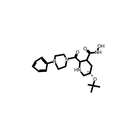 CC(C)(C)O[C@@H]1CNC(C(=O)N2CCN(c3ccccc3)CC2)C(C(=O)NO)C1